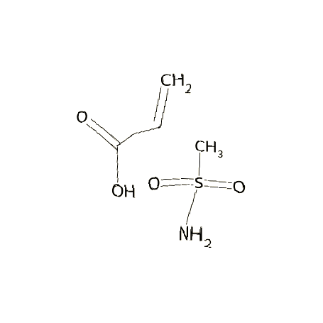 C=CC(=O)O.CS(N)(=O)=O